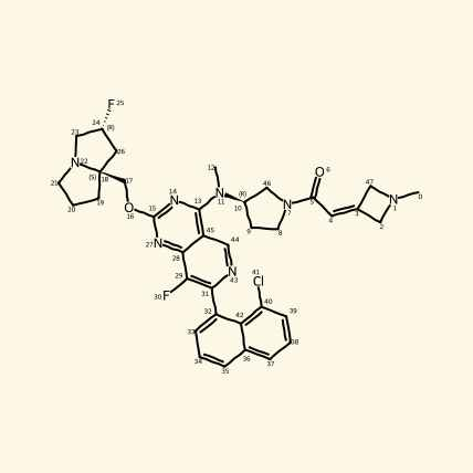 CN1CC(=CC(=O)N2CC[C@@H](N(C)c3nc(OC[C@@]45CCCN4C[C@H](F)C5)nc4c(F)c(-c5cccc6cccc(Cl)c56)ncc34)C2)C1